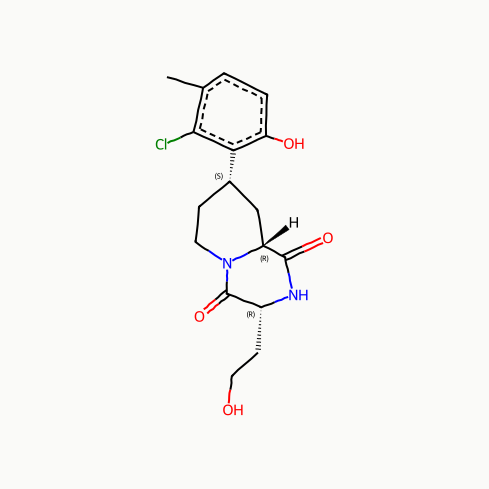 Cc1ccc(O)c([C@H]2CCN3C(=O)[C@@H](CCO)NC(=O)[C@H]3C2)c1Cl